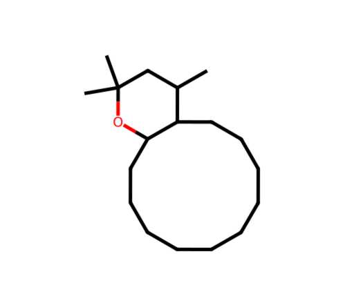 CC1CC(C)(C)OC2CCCCCCCCCCC12